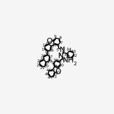 N/C(=N\C(=N/Cc1cccc2oc3ccc(-c4ccc5ccccc5c4)cc3c12)c1ccccc1)c1ccc2c(c1)oc1ccccc12